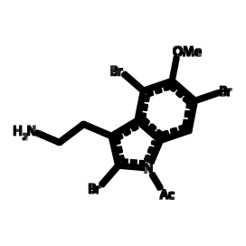 COc1c(Br)cc2c(c1Br)c(CCN)c(Br)n2C(C)=O